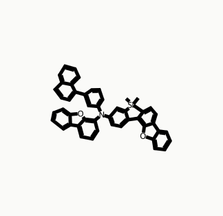 C[Si]1(C)c2cc(N(c3cccc(-c4cccc5ccccc45)c3)c3cccc4c3oc3ccccc34)ccc2-c2c1ccc1c2oc2ccccc21